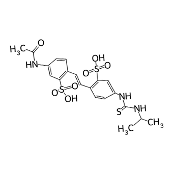 CC(=O)Nc1ccc(C=Cc2ccc(NC(=S)NC(C)C)cc2S(=O)(=O)O)c(S(=O)(=O)O)c1